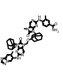 Cc1cc(C(N)=O)ccc1Nc1ncc2c(n1)n(C13CC4CC(CC(OCn5c(=O)n(C67CC8CC(C6)C(=O)C(C8)C7)c6nc(Nc7cn8ncnc8cc7C)ncc65)(C4)C1)C3)c(=O)n2C